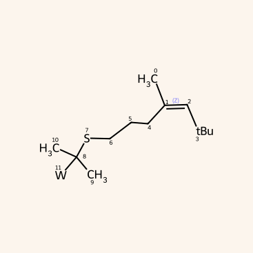 C/C(=C/C(C)(C)C)CCCS[C](C)(C)[W]